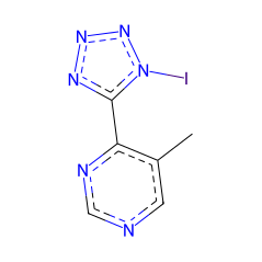 Cc1cncnc1-c1nnnn1I